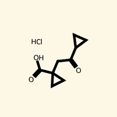 Cl.O=C(CC1(C(=O)O)CC1)C1CC1